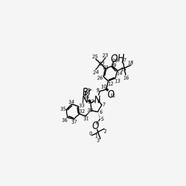 CC(C)(C)OC[C@H]1CN(CC(=O)c2cc(C(C)(C)C)c(O)c(C(C)(C)C)c2)/C(=N\Br)[C@@H]1Cc1ccccc1